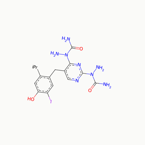 CC(C)c1cc(O)c(I)cc1Cc1cnc(N(N)C(N)=O)nc1N(N)C(N)=O